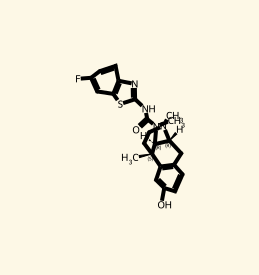 CN1CC[C@@]2(C)c3cc(O)ccc3C[C@@H]1[C@@H]2N(C)C(=O)Nc1nc2ccc(F)cc2s1